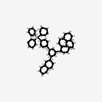 c1ccc([Si](c2ccccc2)(c2ccccc2)c2ccc(-c3cc(-c4ccc5ccccc5c4)cc(-c4ccc5ccc6cccc7ccc4c5c67)c3)cc2)cc1